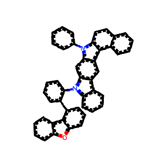 c1ccc(-n2c3cc4c(cc3c3c5ccccc5ccc32)c2ccccc2n4-c2ccccc2-c2cccc3oc4ccccc4c23)cc1